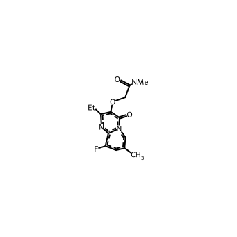 CCc1nc2c(F)cc(C)cn2c(=O)c1OCC(=O)NC